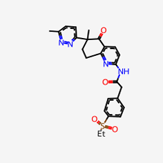 CCS(=O)(=O)c1ccc(CC(=O)Nc2ccc3c(n2)CCC(C)(c2ccc(C)nn2)C3=O)cc1